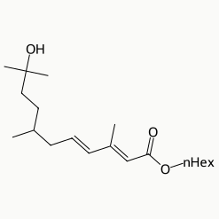 CCCCCCOC(=O)/C=C(C)/C=C/CC(C)CCC(C)(C)O